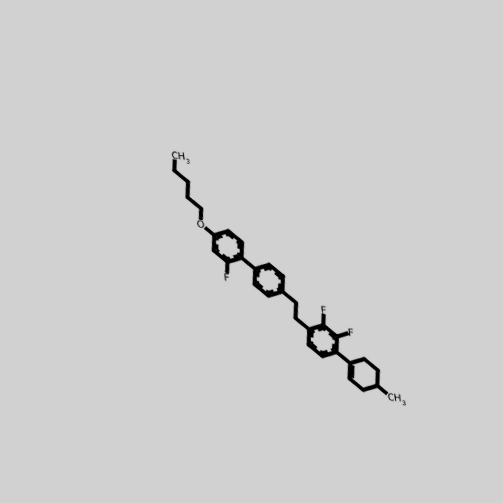 CCCCCOc1ccc(-c2ccc(CCc3ccc(C4=CCC(C)CC4)c(F)c3F)cc2)c(F)c1